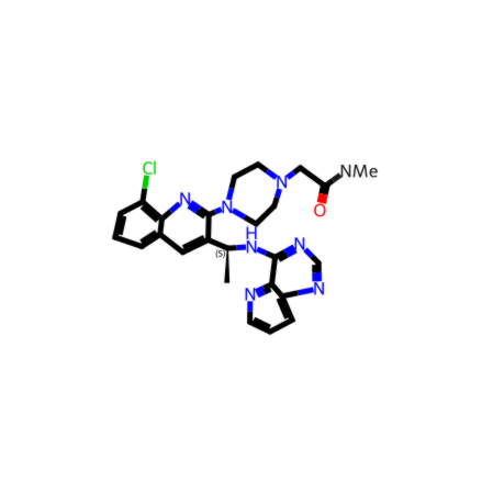 CNC(=O)CN1CCN(c2nc3c(Cl)cccc3cc2[C@H](C)Nc2ncnc3cccnc23)CC1